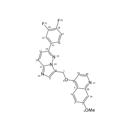 COc1ccc2c(OCc3cnc4ccc(-c5ccc(F)c(F)c5)nn34)ccnc2c1